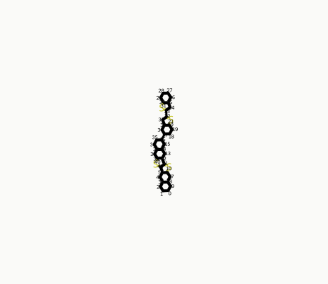 c1ccc2cc3c(cc2c1)sc1c2cc4cc(-c5ccc6sc(-c7cc8ccccc8s7)cc6c5)ccc4cc2sc31